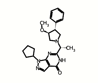 CO[C@@H]1CN([C@H](C)c2nc3c(cnn3C3CCCC3)c(=O)[nH]2)C[C@H]1c1ccccc1